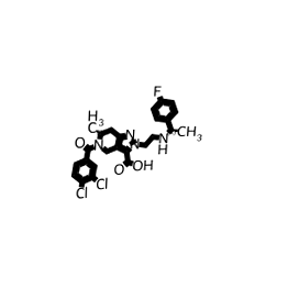 C[C@@H]1Cc2nn(CCN[C@H](C)c3ccc(F)cc3)c(C(=O)O)c2CN1C(=O)c1ccc(Cl)c(Cl)c1